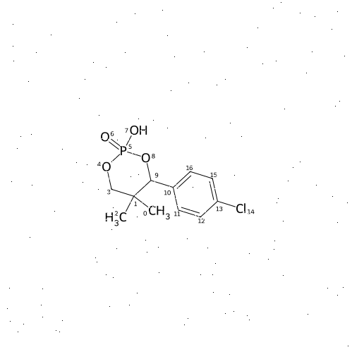 CC1(C)COP(=O)(O)OC1c1ccc(Cl)cc1